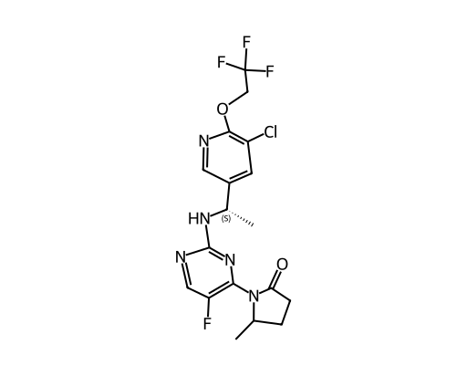 CC1CCC(=O)N1c1nc(N[C@@H](C)c2cnc(OCC(F)(F)F)c(Cl)c2)ncc1F